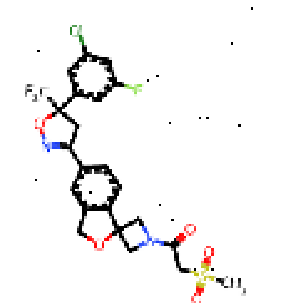 CS(=O)(=O)CC(=O)N1CC2(C1)OCc1cc(C3=NOC(c4cc(F)cc(Cl)c4)(C(F)(F)F)C3)ccc12